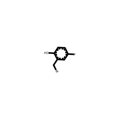 Oc1ccc(F)cc1CBr